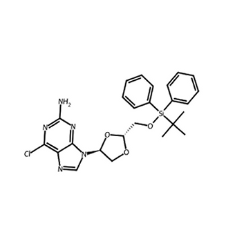 CC(C)(C)[Si](OC[C@@H]1OC[C@@H](n2cnc3c(Cl)nc(N)nc32)O1)(c1ccccc1)c1ccccc1